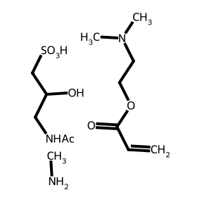 C=CC(=O)OCCN(C)C.CC(=O)NCC(O)CS(=O)(=O)O.CN